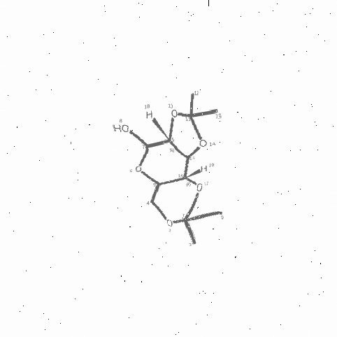 CC1(C)OCC2OC(O)[C@@H]3OC(C)(C)OC3[C@@H]2O1